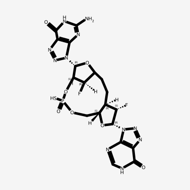 Nc1nc2c(nnn2[C@@H]2OC3CC[C@H]4[C@H](F)[C@H](n5nnc6c(=O)[nH]cnc65)O[C@@H]4COP(=O)(S)O[C@@H]2[C@@H]3F)c(=O)[nH]1